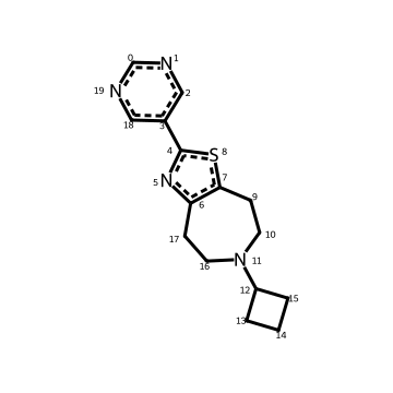 c1ncc(-c2nc3c(s2)CCN(C2CCC2)CC3)cn1